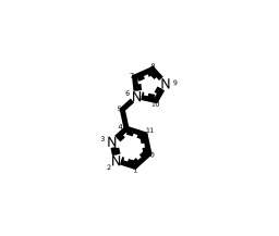 c1cnnc(Cn2ccnc2)c1